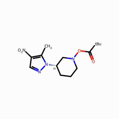 Cc1c([N+](=O)[O-])cnn1[C@H]1CCCN(OC(=O)C(C)(C)C)C1